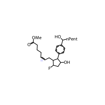 CCCCCC(O)c1ccc(C2C(O)CC(F)C2C/C=C\CCCC(=O)OC)cc1